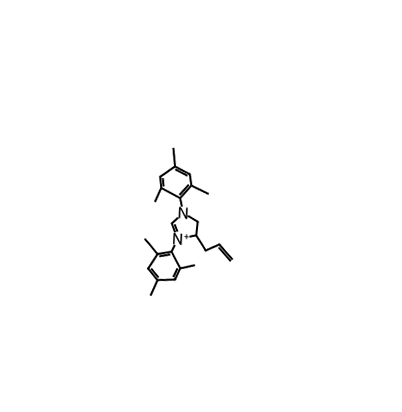 C=CCC1CN(c2c(C)cc(C)cc2C)C=[N+]1c1c(C)cc(C)cc1C